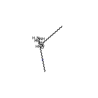 CCCCCCCC/C=C/CCCCCCCC(=O)NC(CCNC(=N)N)C(=O)NCCCCCCCCCCCCCCCCCC